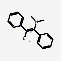 CN(C)/C(=C(/N)c1ccccc1)c1ccccc1